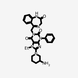 CCn1c(N2CCCC(N)C2)nc2c1c(=O)n(CC1=NCC(=O)Nc3ccccc31)c(=O)n2-c1ccccc1